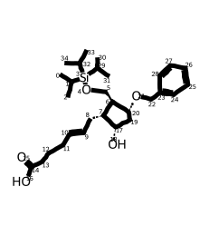 CC(C)[Si](OC[C@@H]1[C@@H](CC=CCCCC(=O)O)[C@@H](O)C[C@H]1OCc1ccccc1)(C(C)C)C(C)C